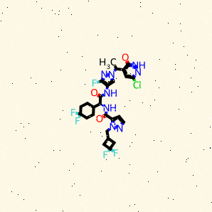 CC(c1cc(Cl)n[nH]c1=O)n1cc(NC(=O)[C@@H](NC(=O)c2ccnn2CC2CC(F)(F)C2)C2CCC(F)(F)CC2)c(F)n1